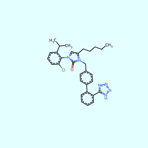 CCCCCc1cn(-c2c(Cl)cccc2C(C)C)c(=O)n1Cc1ccc(-c2ccccc2-c2nnn[nH]2)cc1